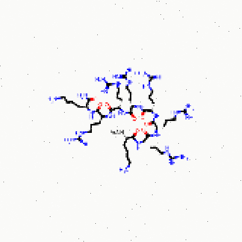 CC(=O)N[C@@H](CCCCN)C(=O)N[C@@H](CCCNC(=N)N)C(=O)N[C@@H](CCCNC(=N)N)C(=O)N[C@@H](CCCNC(=N)N)C(=O)N[C@@H](CCCNC(=N)N)C(=O)N[C@@H](CCCNC(=N)N)C(=O)N[C@@H](CCCNC(=N)N)C(=O)N[C@@H](CCCCN)C(N)=O